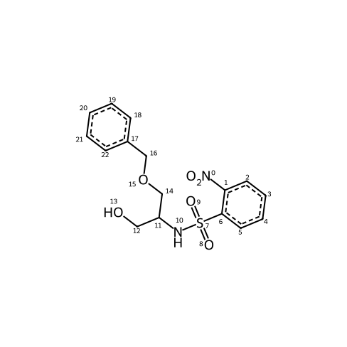 O=[N+]([O-])c1ccccc1S(=O)(=O)NC(CO)COCc1ccccc1